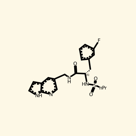 CCCS(=O)(=O)N[C@@H](Cc1cccc(F)c1)C(=O)NCc1cnc2[nH]ccc2c1